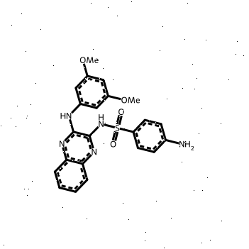 COc1cc(Nc2nc3ccccc3nc2NS(=O)(=O)c2ccc(N)cc2)cc(OC)c1